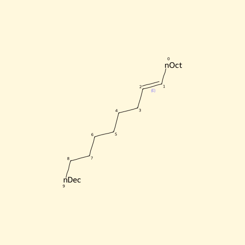 CCCCCCCC/C=C/CCCCCCCCCCCCCCCC